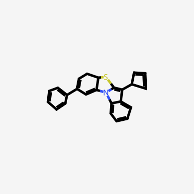 C1=CC(c2c3n(c4ccccc24)C2=CC(c4ccccc4)=CCC2S3)C=1